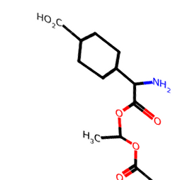 CCCCC(=O)OC(C)OC(=O)C(N)C1CCC(C(=O)O)CC1